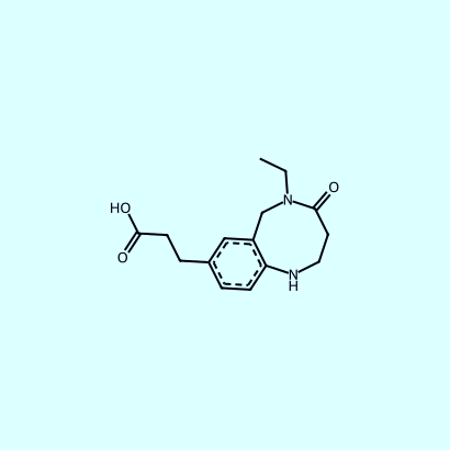 CCN1Cc2cc(CCC(=O)O)ccc2NCCC1=O